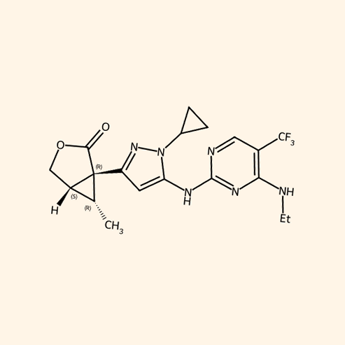 CCNc1nc(Nc2cc([C@]34C(=O)OC[C@H]3[C@H]4C)nn2C2CC2)ncc1C(F)(F)F